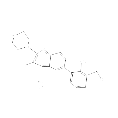 Cl.Cl.NCc1cccc(-c2ccc3nc(N4CCNCC4)c(Cl)cc3c2)c1C(F)(F)F